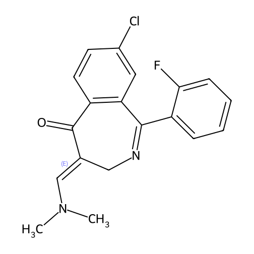 CN(C)/C=C1\CN=C(c2ccccc2F)c2cc(Cl)ccc2C1=O